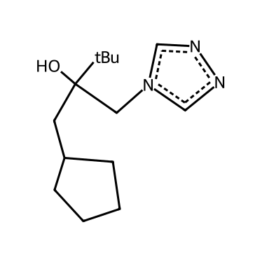 CC(C)(C)C(O)(CC1CCCC1)Cn1cnnc1